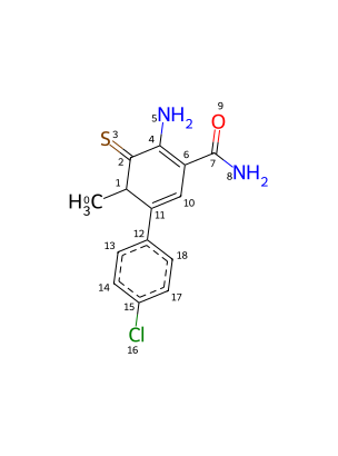 CC1C(=S)C(N)=C(C(N)=O)C=C1c1ccc(Cl)cc1